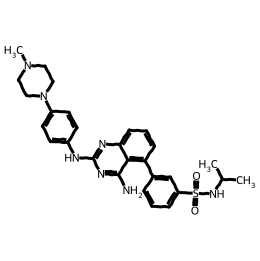 CC(C)NS(=O)(=O)c1cccc(-c2cccc3nc(Nc4ccc(N5CCN(C)CC5)cc4)nc(N)c23)c1